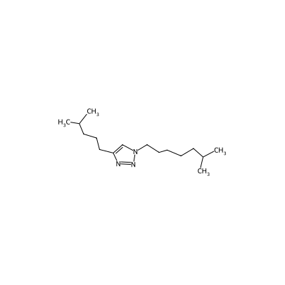 CC(C)CCCCCn1cc(CCCC(C)C)nn1